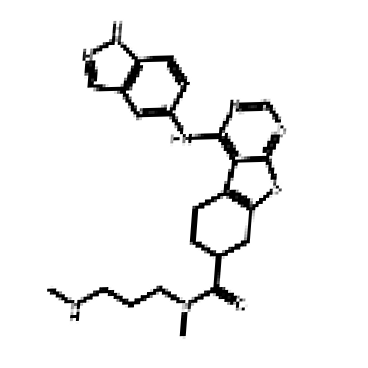 CNCCCN(C)C(=O)C1CCc2c(sc3ncnc(Nc4ccc5[nH]ncc5c4)c23)C1